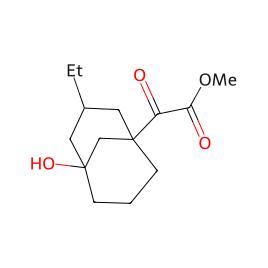 CCC1CC2(O)CCCC(C(=O)C(=O)OC)(C1)C2